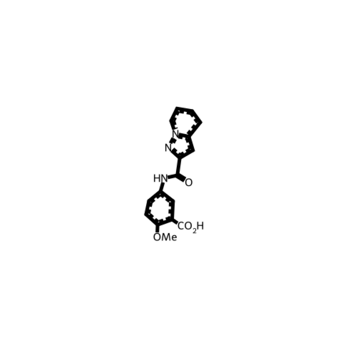 COc1ccc(NC(=O)c2cc3ccccn3n2)cc1C(=O)O